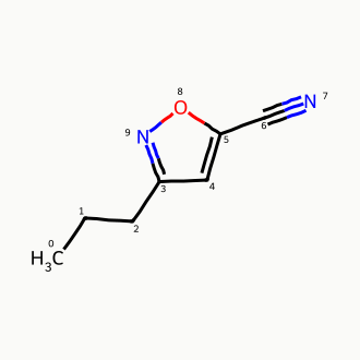 CCCc1cc(C#N)on1